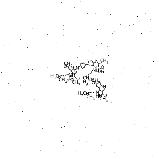 CCc1nc2ccc(-c3ccc(N)cc3)cc2c(NCCCN(C)C)c1C(=O)O.CNC(=O)c1cnc2ccc(OC)cc2c1NCCCN(C)C.COc1ccc2ncc(C(=O)N(C)C)c(NCCCN(C)C)c2c1